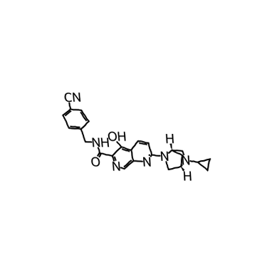 N#Cc1ccc(CNC(=O)c2ncc3nc(N4C[C@@H]5C[C@H]4CN5C4CC4)ccc3c2O)cc1